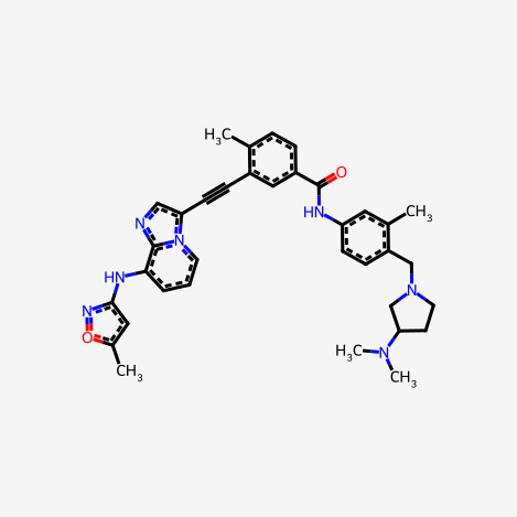 Cc1cc(Nc2cccn3c(C#Cc4cc(C(=O)Nc5ccc(CN6CCC(N(C)C)C6)c(C)c5)ccc4C)cnc23)no1